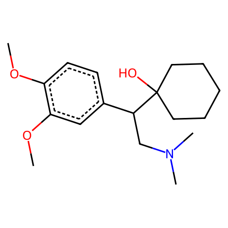 COc1ccc(C(CN(C)C)C2(O)CCCCC2)cc1OC